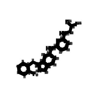 Fc1ccccc1Cn1ncc2cnc(Nc3ccnc(NCC(F)F)n3)cc21